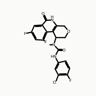 CN(C(=O)Nc1ccc(F)c(Cl)c1)C1COCc2[nH]c(=O)c3cc(F)cc(F)c3c21